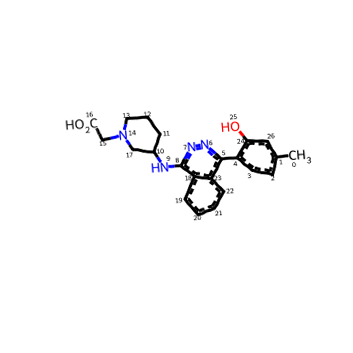 Cc1ccc(-c2nnc(NC3CCCN(CC(=O)O)C3)c3ccccc23)c(O)c1